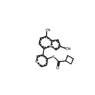 N#Cc1cc2c(C#N)ccc(-c3cnccc3SC(=O)C3CCC3)n2c1